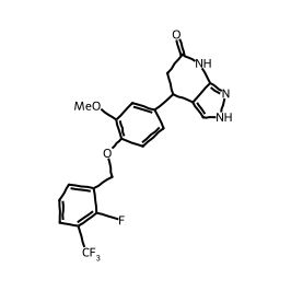 COc1cc(C2CC(=O)Nc3n[nH]cc32)ccc1OCc1cccc(C(F)(F)F)c1F